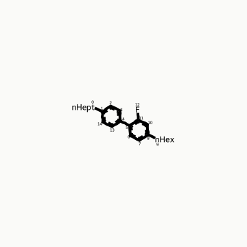 CCCCCCCc1ccc(-c2ccc(CCCCCC)cc2F)cc1